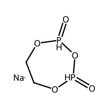 O=[PH]1OCCO[PH](=O)O1.[Na]